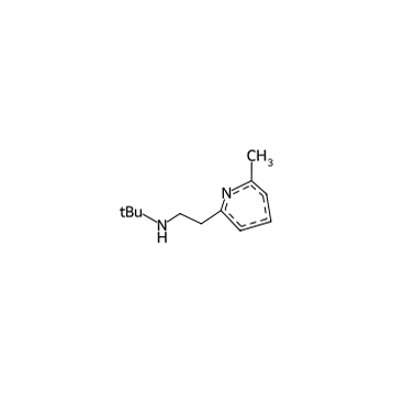 Cc1cccc(CCNC(C)(C)C)n1